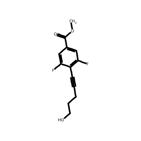 COC(=O)c1cc(F)c(C#CCCCO)c(F)c1